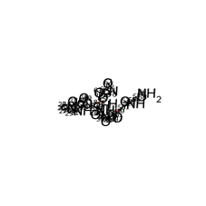 C=Nc1cc(OCc2cc(COc3cc4c(cc3OC)C(=O)N3c5ccccc5CC3CN4)cc(NC(=O)C(C)NC(=O)[C@H](C)NC(=O)CCCCC(=O)NCCCON)c2)c(OC)cc1C=O